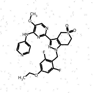 CCOc1cc(F)c(Cn2nc(-c3ncc(OC)c(Nc4ccncc4)n3)c3c2CCS(=O)(=O)C3)c(F)c1